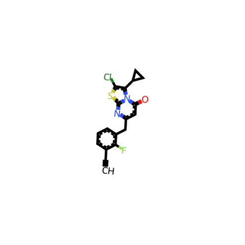 C#Cc1cccc(Cc2cc(=O)n3c(C4CC4)c(Cl)sc3n2)c1F